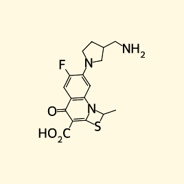 CC1Sc2c(C(=O)O)c(=O)c3cc(F)c(N4CCC(CN)C4)cc3n21